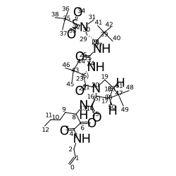 C=CCNC(=O)C(=O)C(CCCC)NC(=O)[C@@H]1[C@@H]2[C@H](CN1C(=O)[C@@H](NC(=O)N[C@H](CN(C)S(=O)(=O)C(C)(C)C)C(C)(C)C)C(C)(C)C)C2(C)C